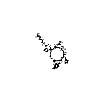 CC(C)[C@@H]1NC(=O)[C@H](Cc2cccs2)NC(=O)[C@H](Cc2ccc(Cl)cc2)NC(=O)CCCSC[C@@H](C(=O)N2CSC[C@H]2C(=O)NCCCCNC(=N)N)NC(=O)[C@H](CC(N)=O)NC1=O